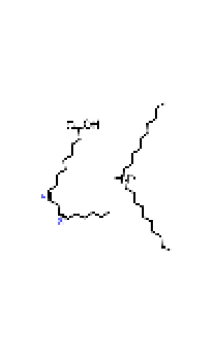 CCCCC/C=C\C/C=C\CCCCCCCC(=O)O.CCCCCCCCCC[N+](C)(C)CCCCCCCCCC